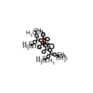 CC(C)(C)c1ccc(N(c2ccc(C(C)(C)C)cc2)c2cc3c4c(c2)N(c2ccccc2)c2cc5c(cc2B4C(=C\Nc2ccccc2)/C=C\C=C/3)B2c3ccccc3N(c3ccccc3)c3cc(N(c4ccc(C(C)(C)C)cc4)c4ccc(C(C)(C)C)cc4)cc(c32)N5c2ccccc2)cc1